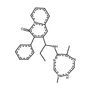 CCC(Nc1ncn(C)[nH]cnc1C)c1cc2ccccn2c(=O)c1-c1ccccc1